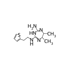 CC1N=C(N)NC(NCCc2cccs2)=NC1C